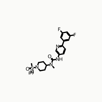 CC(C)[SH](C)(=O)N1CCC(N(C)C(=O)Nc2ccc(-c3cc(F)cc(F)c3)nc2)CC1